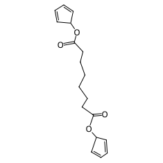 O=C(CCCCCCC(=O)OC1C=CC=C1)OC1C=CC=C1